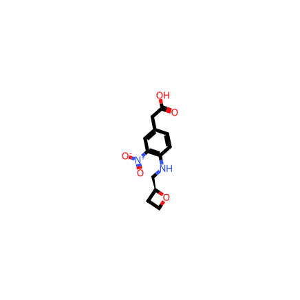 O=C(O)Cc1ccc(NC[C@@H]2CCO2)c([N+](=O)[O-])c1